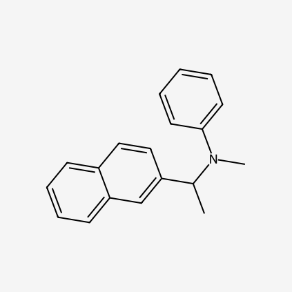 CC(c1ccc2ccccc2c1)N(C)c1ccccc1